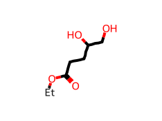 CCOC(=O)CCC(O)CO